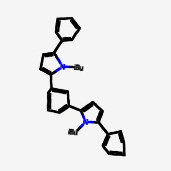 CCC(C)n1c(-c2ccccc2)ccc1-c1cccc(-c2ccc(-c3ccccc3)n2C(C)CC)c1